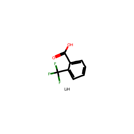 O=C(O)c1ccccc1C(F)(F)F.[LiH]